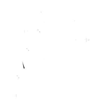 Cc1csc([C@H]2CCCN2C(=O)c2cc(C(=O)OC(C)(C)C)cc(=O)n2C)n1